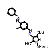 CCCCCn1nc(C(C)(C)C)c(/N=N/c2ccc(/N=N/c3ccccc3)c(C)c2)c1O